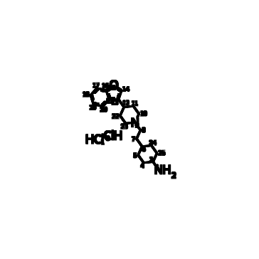 Cl.Cl.NC1CCC(CCN2CCC(c3coc4ccccc34)CC2)CC1